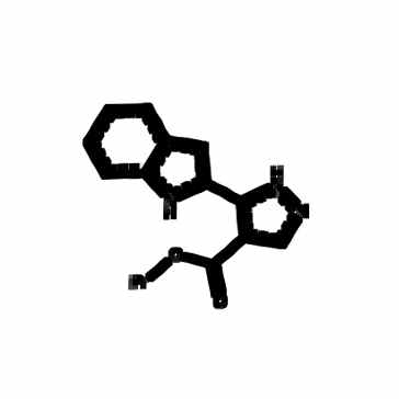 CC(C)OC(=O)c1cn[nH]c1-c1cc2ccccc2[nH]1